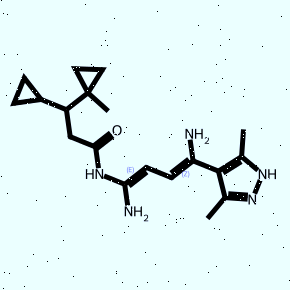 Cc1n[nH]c(C)c1/C(N)=C/C=C(\N)NC(=O)CC(C1CC1)C1(C)CC1